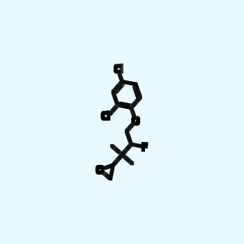 CC(C)(C(F)COc1ccc(Cl)cc1Cl)C1CO1